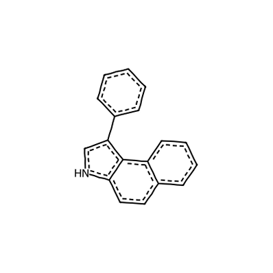 c1ccc(-c2c[nH]c3ccc4ccccc4c23)cc1